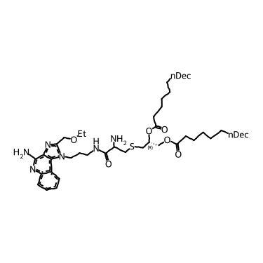 CCCCCCCCCCCCCCCC(=O)OC[C@H](CSCC(N)C(=O)NCCCn1c(COCC)nc2c(N)nc3ccccc3c21)OC(=O)CCCCCCCCCCCCCCC